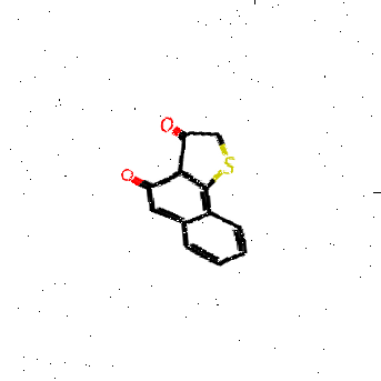 O=C1C=c2ccccc2=C2SCC(=O)C12